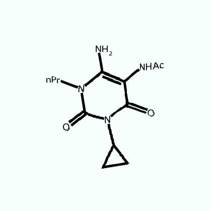 CCCn1c(N)c(NC(C)=O)c(=O)n(C2CC2)c1=O